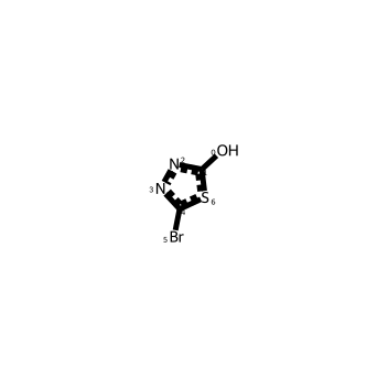 Oc1nnc(Br)s1